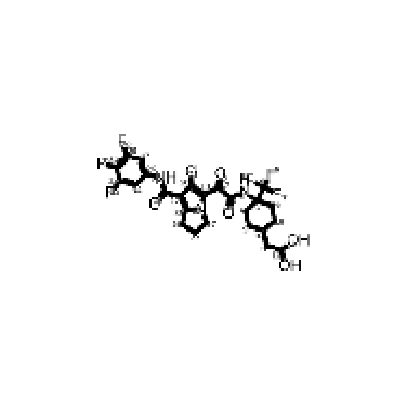 O=C(NC1(C(F)(F)F)CCC(CC(O)O)CC1)C(=O)c1c(Cl)c(C(=O)Nc2cc(F)c(F)c(F)c2)c2n1CCC2